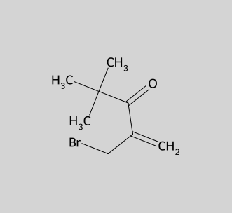 C=C(CBr)C(=O)C(C)(C)C